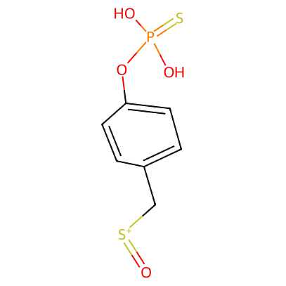 O=[S+]Cc1ccc(OP(O)(O)=S)cc1